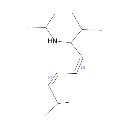 CC(C)/C=C\C=C/C(NC(C)C)C(C)C